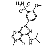 COc1ccc(-c2cc3ncn(C)c(=O)c3c(NC(C)C)n2)cc1S(N)(=O)=O